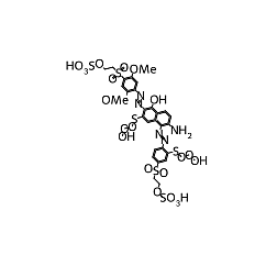 COc1cc(S(=O)(=O)CCOS(=O)(=O)O)c(OC)cc1N=Nc1c(SOOO)cc2c(N=Nc3ccc(S(=O)(=O)CCOS(=O)(=O)O)cc3SOOO)c(N)ccc2c1O